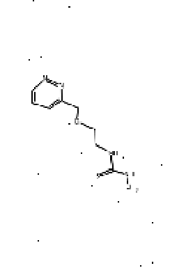 CNC(=S)NCCOCc1cccnn1